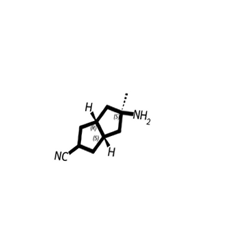 C[C@@]1(N)C[C@H]2CC(C#N)C[C@H]2C1